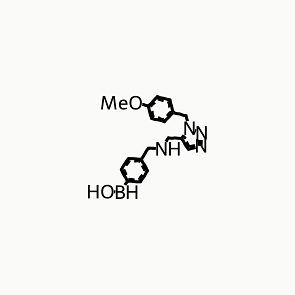 COc1ccc(Cn2nncc2CNCc2ccc(BO)cc2)cc1